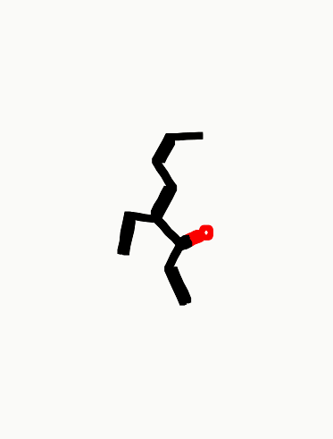 C=CC(=O)/C(C=C)=C/C=C\C